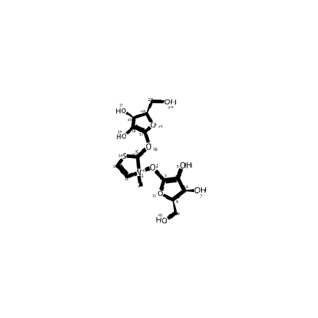 C[N+]1(OC2=C(O)[C@@H](O)[C@@H](CO)O2)C=CSC1OC1=C(O)[C@@H](O)[C@@H](CO)O1